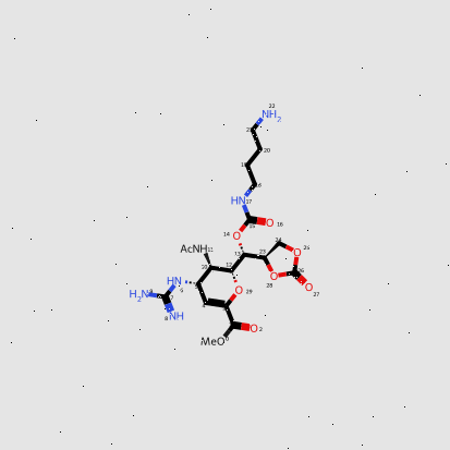 COC(=O)C1=C[C@H](NC(=N)N)[C@@H](NC(C)=O)[C@H]([C@H](OC(=O)NCCCCN)[C@H]2COC(=O)O2)O1